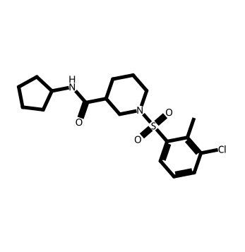 Cc1c(Cl)cccc1S(=O)(=O)N1CCCC(C(=O)NC2CCCC2)C1